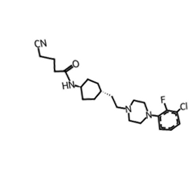 N#CCCCC(=O)N[C@H]1CC[C@H](CCN2CCN(c3cccc(Cl)c3F)CC2)CC1